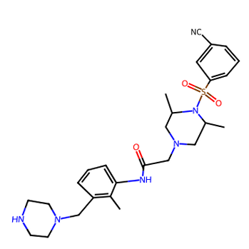 Cc1c(CN2CCNCC2)cccc1NC(=O)CN1CC(C)N(S(=O)(=O)c2cccc(C#N)c2)C(C)C1